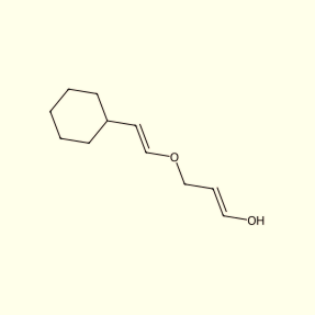 OC=CCOC=CC1CCCCC1